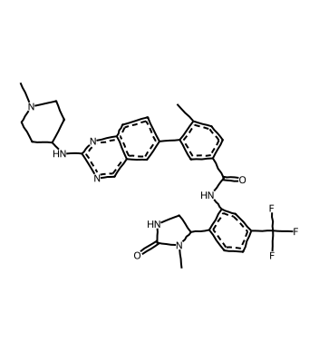 Cc1ccc(C(=O)Nc2cc(C(F)(F)F)ccc2C2CNC(=O)N2C)cc1-c1ccc2nc(NC3CCN(C)CC3)ncc2c1